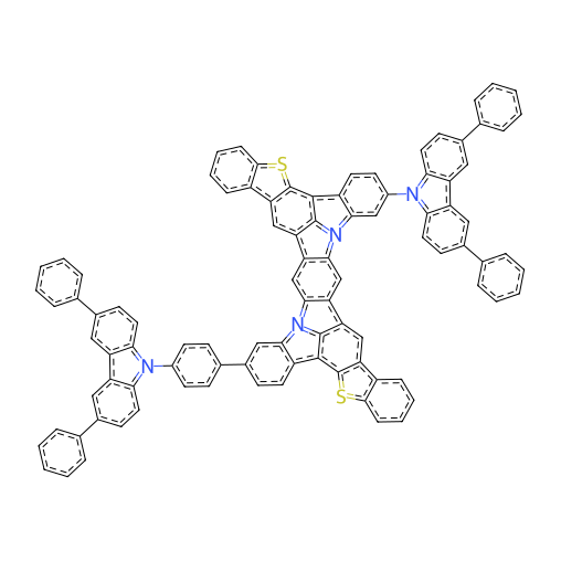 c1ccc(-c2ccc3c(c2)c2cc(-c4ccccc4)ccc2n3-c2ccc(-c3ccc4c5c6sc7ccccc7c6cc6c7cc8c(cc7n(c4c3)c65)c3cc4c5ccccc5sc4c4c5ccc(-n6c7ccc(-c9ccccc9)cc7c7cc(-c9ccccc9)ccc76)cc5n8c34)cc2)cc1